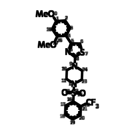 COc1ccc(-c2csc(N3CCN(S(=O)(=O)c4ccccc4C(F)(F)F)CC3)n2)c(OC)c1